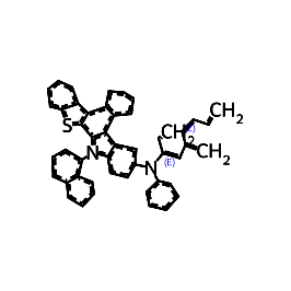 C=C/C=C\C(=C)/C=C(\C=C)N(c1ccccc1)c1ccc2c(c1)c1c3ccccc3c3c4ccccc4sc3c1n2-c1cccc2ccccc12